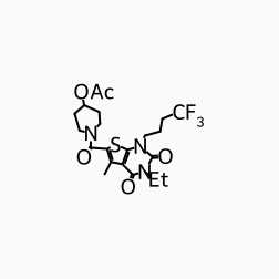 CCn1c(=O)c2c(C)c(C(=O)N3CCC(OC(C)=O)CC3)sc2n(CCCC(F)(F)F)c1=O